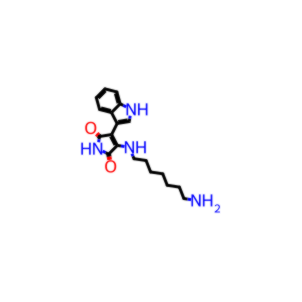 NCCCCCCCNC1=C(c2c[nH]c3ccccc23)C(=O)NC1=O